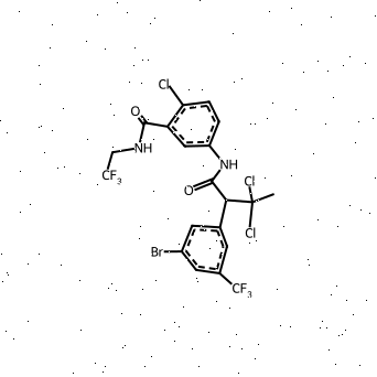 CC(Cl)(Cl)C(C(=O)Nc1ccc(Cl)c(C(=O)NCC(F)(F)F)c1)c1cc(Br)cc(C(F)(F)F)c1